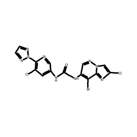 O=C(Nc1cnc(-n2nccn2)c(Cl)c1)Nc1cnn2cc(Cl)nc2c1Br